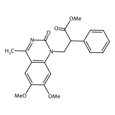 COC(=O)C(Cn1c(=O)nc(C)c2cc(OC)c(OC)cc21)c1ccccc1